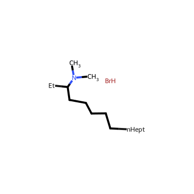 Br.CCCCCCCCCCCCC(CC)N(C)C